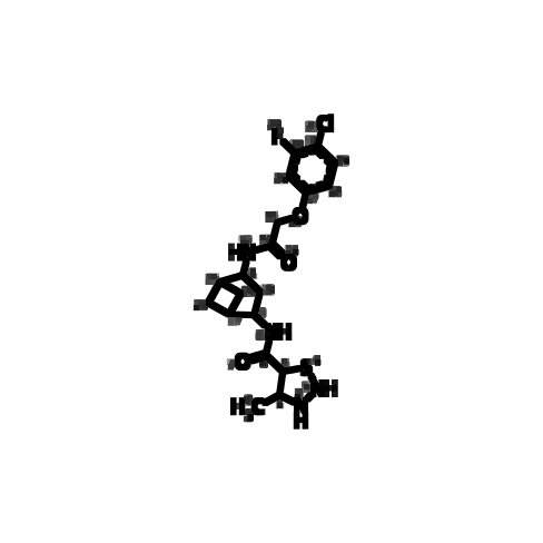 CC1NNSC1C(=O)NC1CC(NC(=O)COc2ccc(Cl)c(F)c2)C2CC1C2